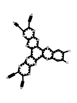 N#Cc1nc2nc3c4nc5cc(Cl)c(Cl)cc5nc4c4nc5nc(C#N)c(C#N)nc5nc4c3nc2nc1C#N